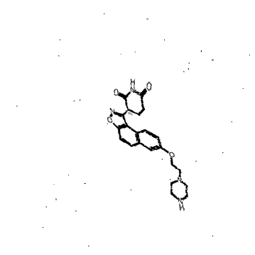 O=C1CC[C@@H](c2noc3ccc4cc(OCCN5CCNCC5)ccc4c23)C(=O)N1